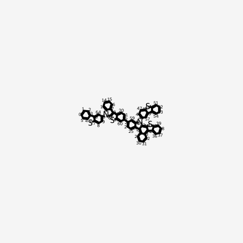 c1ccc2c(c1)sc1ccc(-n3c4ccccc4c4c5ccc(-c6ccc7c8c9ccccc9c9c%10ccccc%10sc9c8n(-c8ccc9sc%10ccccc%10c9c8)c7c6)cc5sc43)cc12